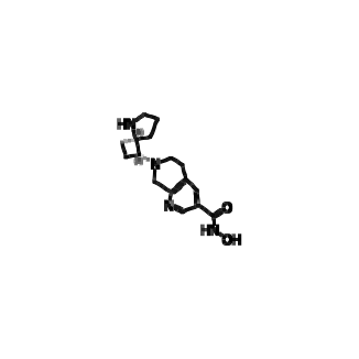 O=C(NO)c1cnc2c(c1)CCN([C@@H]1CC[C@]13CCCN3)C2